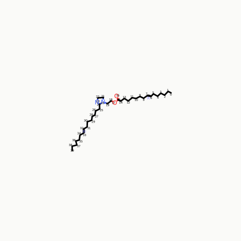 CCCCCC/C=C/CCCCCCCC(=O)OCCN1CCN=C1CCCCCCC/C=C/CCCCCC